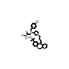 CCNC(=O)CN(Cc1ccc(Cl)cc1)C1CCN(CC/C=C2\c3cc(C(C)(C)O)ccc3OCc3ncccc32)C1